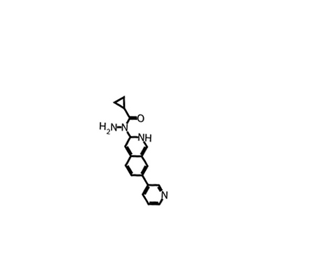 NN(C(=O)C1CC1)C1C=c2ccc(-c3cccnc3)cc2=CN1